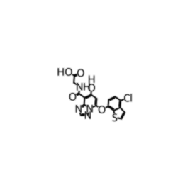 O=C(O)CNC(=O)c1c(O)cc(Oc2ccc(Cl)c3ccsc23)n2ncnc12